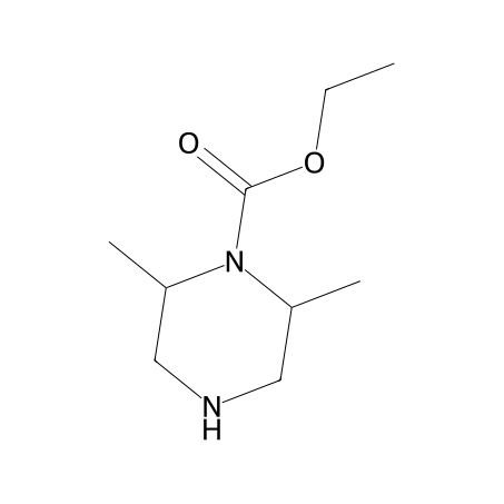 CCOC(=O)N1C(C)CNCC1C